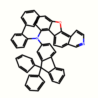 c1ccc(-c2ccccc2N(c2ccc3c(c2)C(c2ccccc2)(c2ccccc2)c2ccccc2-3)c2cccc3oc4c5ccncc5ccc4c23)cc1